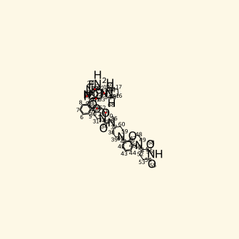 COCOc1ccccc1-c1cc(N2C[C@H]3CC[C@@H](C2)N3c2cc(F)c(F)c(OC3CCN(C(=O)N(C)C4CCN(c5cccc6c5OCCN6C5CCC(=O)NC5=O)CC4)CC3)c2)c(N)nn1